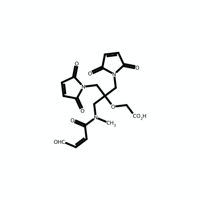 CN(CC(CN1C(=O)C=CC1=O)(CN1C(=O)C=CC1=O)OCC(=O)O)C(=O)/C=C\C=O